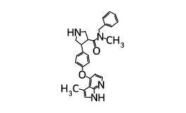 Cc1c[nH]c2nccc(Oc3ccc(C4CNCC4C(=O)N(C)Cc4ccccc4)cc3)c12